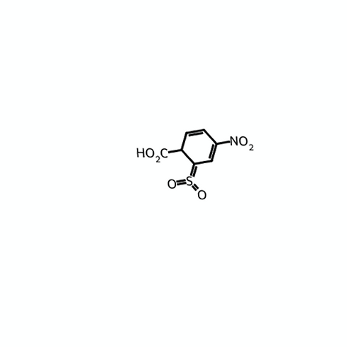 O=C(O)C1C=CC([N+](=O)[O-])=CC1=S(=O)=O